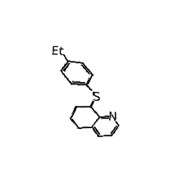 CCc1ccc(SC2CCCc3cccnc32)cc1